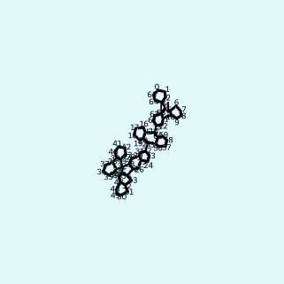 c1ccc(-n2c3ccccc3c3cc(-c4c5ccccc5c(-c5ccc6cc7c(cc6c5)C5(c6ccccc6-c6ccccc65)c5cc6ccccc6cc5-7)c5ccccc45)ccc32)cc1